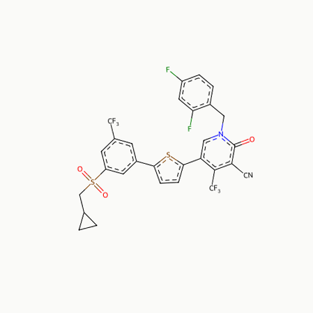 N#Cc1c(C(F)(F)F)c(-c2ccc(-c3cc(C(F)(F)F)cc(S(=O)(=O)CC4CC4)c3)s2)cn(Cc2ccc(F)cc2F)c1=O